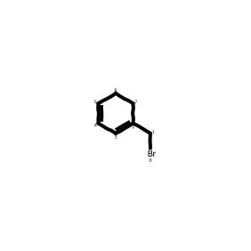 BrCC1=CC=CCC1